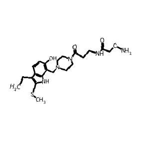 CCc1c(SC)[nH]c2c(CN3CCN(C(=O)CCNC(=O)CON)CC3)c(O)ccc12